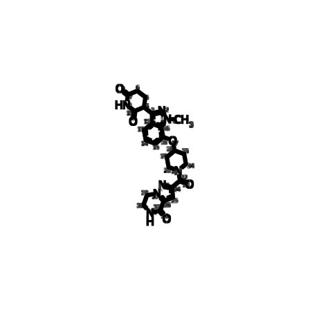 Cn1nc(C2CCC(=O)NC2=O)c2cccc(OC3CCN(C(=O)c4cc5n(n4)CCNC5=O)CC3)c21